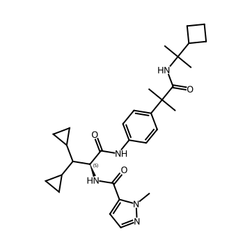 Cn1nccc1C(=O)N[C@H](C(=O)Nc1ccc(C(C)(C)C(=O)NC(C)(C)C2CCC2)cc1)C(C1CC1)C1CC1